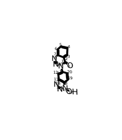 O=c1c2ccccc2nnn1-c1[c]c2nnn(O)c2cc1